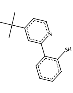 CC(C)(C)c1ccnc(-c2ccccc2S)c1